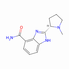 CN1CCC[C@H]1c1nc2c(C(N)=O)cccc2[nH]1